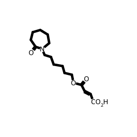 O=C(O)C=CC(=O)OCCCCCCN1CCCCCC1=O